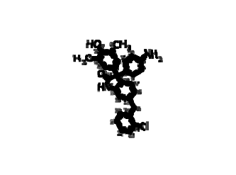 Cc1cc(C2(c3ccc(N)cc3)C(=O)Nc3cc(Cc4ccccc4Cl)ccc32)cc(C)c1O